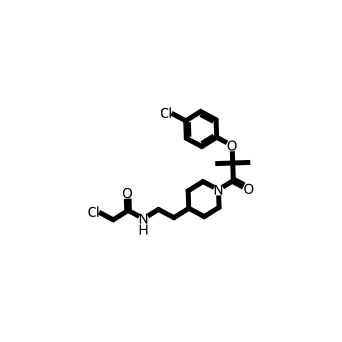 CC(C)(Oc1ccc(Cl)cc1)C(=O)N1CCC(CCNC(=O)CCl)CC1